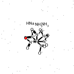 N.N.O=[N+]([O-])[Rh]([N+](=O)[O-])([N+](=O)[O-])([N+](=O)[O-])([N+](=O)[O-])[N+](=O)[O-].[NaH]